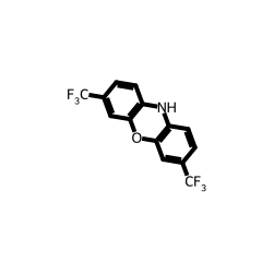 FC(F)(F)c1ccc2c(c1)Oc1cc(C(F)(F)F)ccc1N2